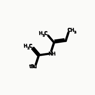 C=C(N/C(C)=C/C)C(C)(C)C